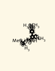 COc1noc(C)c1CON=C1C(=O)Nc2c1cc(-c1ccc(S(=O)(=O)N(C)C)cc1)c1c2CN(C)CC1